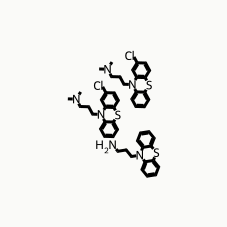 CN(C)CCCN1c2ccccc2Sc2ccc(Cl)cc21.CN(C)CCCN1c2ccccc2Sc2ccc(Cl)cc21.NCCCN1c2ccccc2Sc2ccccc21